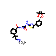 CC(C)(CNC(=O)O)c1cccc(C(=O)NCC(=O)Nc2nc(-c3cccc(B4OC(C)(C)C(C)(C)O4)c3)cs2)c1